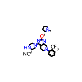 CN1CCC[C@H]1COc1nc2c(c(N3CCN[C@@H](CC#N)C3)n1)CCN(c1ccccc1C(F)(F)F)C2